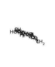 C=CCOC1=CCC(OC(=O)c2ccc(-c3ccc(-c4ccc(C(C)O)cc4)c(F)c3F)cc2)C(F)=C1